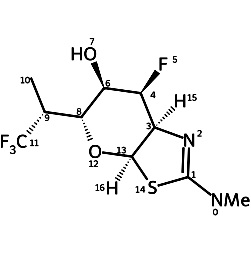 CNC1=N[C@@H]2[C@H](F)[C@H](O)[C@@H]([C@@H](C)C(F)(F)F)O[C@@H]2S1